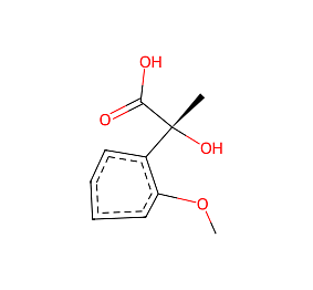 COc1ccccc1[C@@](C)(O)C(=O)O